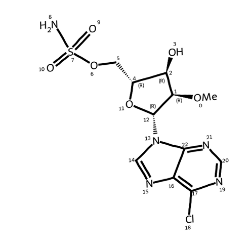 CO[C@@H]1[C@H](O)[C@@H](COS(N)(=O)=O)O[C@H]1n1cnc2c(Cl)ncnc21